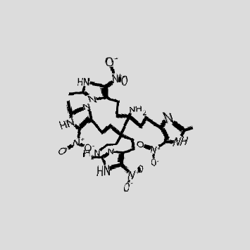 Cc1nc(CCC(N)(CCc2nc(C)[nH]c2[N+](=O)[O-])C(CCN)(CCc2nc(C)[nH]c2[N+](=O)[O-])CCc2nc(C)[nH]c2[N+](=O)[O-])c([N+](=O)[O-])[nH]1